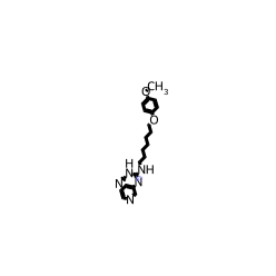 COc1ccc(OCCCCCCCN/C(=N/c2cccnc2)NC#N)cc1